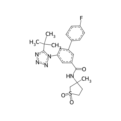 CC1(NC(=O)c2cc(-c3ccc(F)cc3)cc(-n3nnnc3C(C)(C)C)c2)CCS(=O)(=O)C1